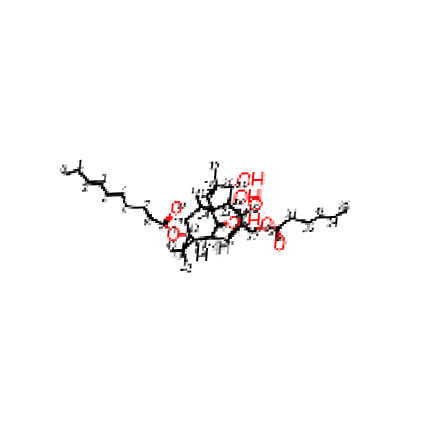 CCCCCCCCCC(=O)O[C@@]12CC(C)C34C=C(C)[C@H](O)[C@@]3(O)[C@H](O)C(COC(=O)CCCCC)=C[C@H](C4=O)[C@@H]1C2(C)C